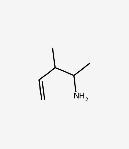 C=CC(C)C(C)N